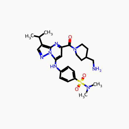 CC(C)c1cnn2c(Nc3ccc(S(=O)(=O)N(C)C)cc3)cc(C(=O)N3CCC(CN)CC3)nc12